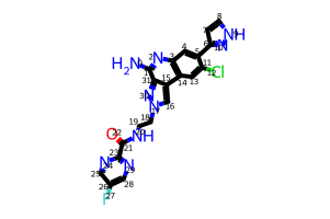 Nc1nc2cc(-c3cc[nH]n3)c(Cl)cc2c2cn(CCNC(=O)c3ncc(F)cn3)nc12